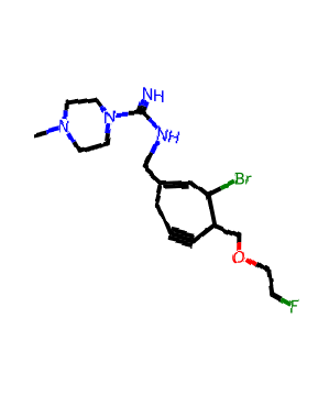 CN1CCN(C(=N)NCC2=CC(Br)C(COCCF)C#CC2)CC1